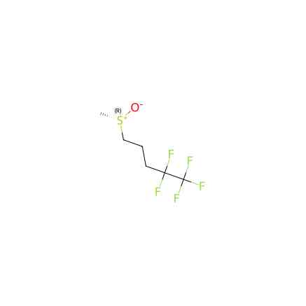 C[S@+]([O-])CCCC(F)(F)C(F)(F)F